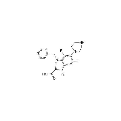 O=C(O)c1cn(Cc2ccncc2)c2c(F)c(N3CCNCC3)c(F)cc2c1=O